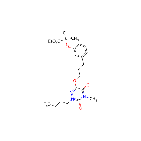 CCOC(=O)C(C)(C)Oc1cccc(CCCOc2nn(CCCC(F)(F)F)c(=O)n(C)c2=O)c1